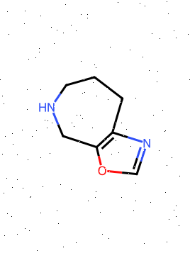 c1nc2c(o1)CNCCC2